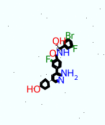 Nc1ncc([C@H]2CC[C@H](O)CC2)cc1-c1ccc(C(=O)N[C@H](CO)c2cc(F)cc(Br)c2)c(F)c1